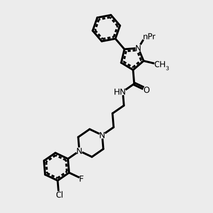 CCCn1c(-c2ccccc2)cc(C(=O)NCCCN2CCN(c3cccc(Cl)c3F)CC2)c1C